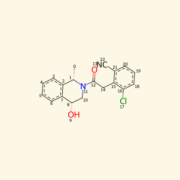 C[C@H]1c2ccccc2[C@@H](O)CN1C(=O)Cc1c(Cl)cccc1C#N